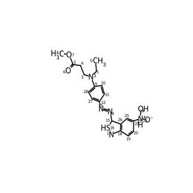 CCN(CCC(=O)OC)c1ccc(/N=N/C2[SH]=Nc3ccc([NH+]([O-])O)cc32)cc1